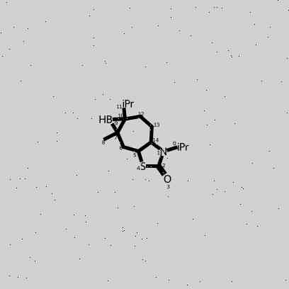 CC(C)N1C(=O)SC2CC3(C)BC3(C(C)C)CCC21